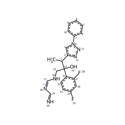 CC(c1cn(-c2ccccc2)nn1)C(O)(CN/C=N\C=N)c1ccc(F)cc1F